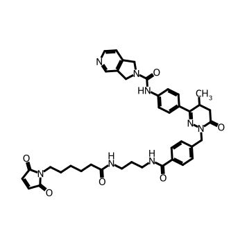 CC1CC(=O)N(Cc2ccc(C(=O)NCCCNC(=O)CCCCCN3C(=O)C=CC3=O)cc2)N=C1c1ccc(NC(=O)N2Cc3ccncc3C2)cc1